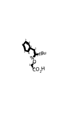 CC(C)(C)C(Cc1ccccc1)=NOCC(=O)O